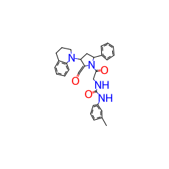 Cc1cccc(NC(=O)NCC(=O)N2C(=C=O)C(N3CCCc4ccccc43)CC2c2ccccc2)c1